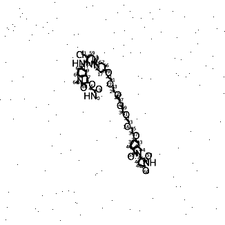 CNC(=O)COc1cc2cc(Nc3nc(N4CCC(OCCOCCOCCOCCOCCOCCOc5ccc6c(c5)CN(C5CCC(=O)NC5=O)C6=O)CC4)ncc3Cl)ccc2n(C)c1=O